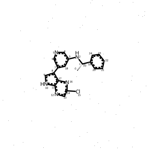 C[C@H](Nc1cncc(-c2c[nH]c3ncc(Cl)nc23)c1)c1ccccc1